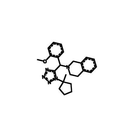 COc1ccccc1C(c1nnnn1C1(C)CCCC1)N1CCc2ccccc2C1